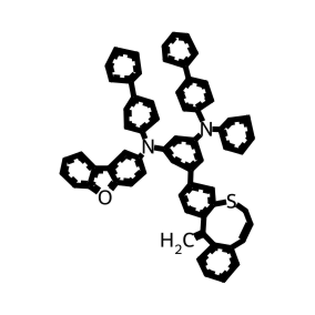 C=C1c2ccccc2/C=C\CSc2cc(-c3cc(N(c4ccccc4)c4ccc(-c5ccccc5)cc4)cc(N(c4ccc(-c5ccccc5)cc4)c4ccc5oc6ccccc6c5c4)c3)ccc21